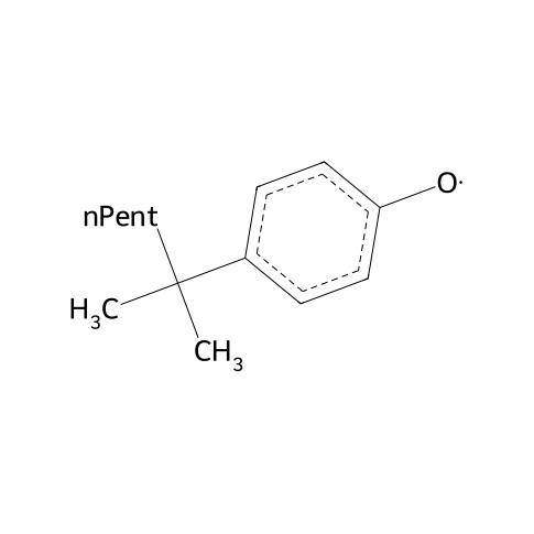 CCCCCC(C)(C)c1ccc([O])cc1